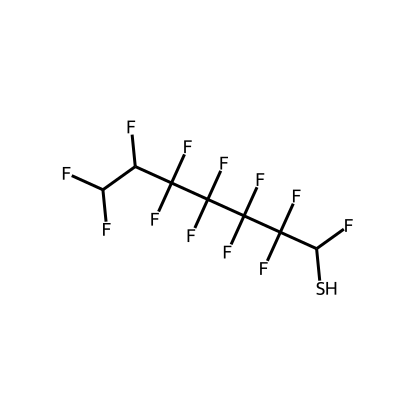 FC(F)C(F)C(F)(F)C(F)(F)C(F)(F)C(F)(F)C(F)S